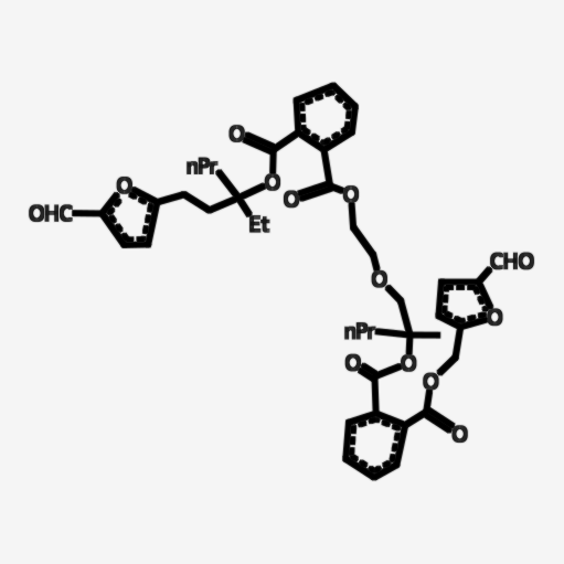 CCCC(C)(COCCOC(=O)c1ccccc1C(=O)OC(CC)(CCC)CCc1ccc(C=O)o1)OC(=O)c1ccccc1C(=O)OCc1ccc(C=O)o1